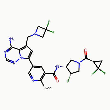 COc1ncc(-c2cc(CN3CC(F)(F)C3)c3c(N)ncnn23)cc1C(=O)N[C@@H]1CN(C(=O)[C@H]2CC2(F)F)C[C@@H]1F